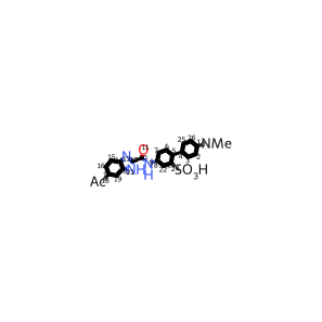 CNc1ccc(-c2ccc(NC(=O)c3nc4ccc(C(C)=O)cc4[nH]3)cc2S(=O)(=O)O)cc1